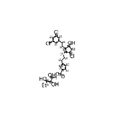 CC[C@@H](O)[C@@H](O)[C@H](O)COC(=O)c1ccc(CCC[C@@H]2[C@@H](CCc3cc(Cl)cc(Cl)c3)[C@H](O)C[C@H]2Cl)s1